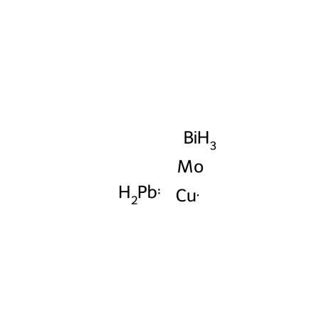 [BiH3].[Cu].[Mo].[PbH2]